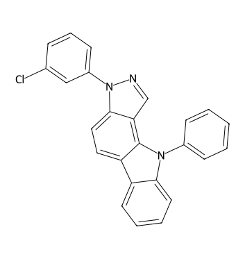 Clc1cccc(-n2ncc3c2ccc2c4ccccc4n(-c4ccccc4)c23)c1